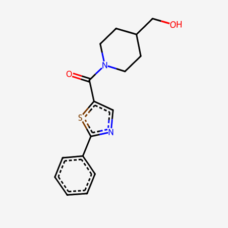 O=C(c1cnc(-c2ccccc2)s1)N1CCC(CO)CC1